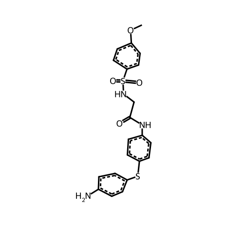 COc1ccc(S(=O)(=O)NCC(=O)Nc2ccc(Sc3ccc(N)cc3)cc2)cc1